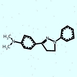 CN(C)c1ccc(C2=NN(c3ccccc3)CC2)cc1